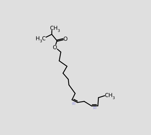 CC/C=C\C/C=C\CCCCCCCOC(=O)C(C)C